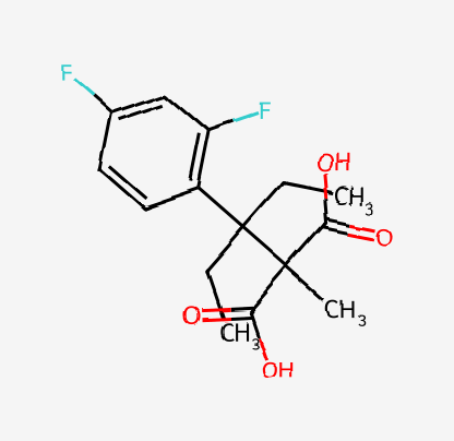 CCC(CC)(c1ccc(F)cc1F)C(C)(C(=O)O)C(=O)O